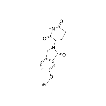 CC(C)Oc1ccc2c(c1)C(=O)N(C1CCC(=O)NC1=O)C2